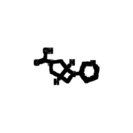 O=C(O)N1C[C@H]2CN(c3cccnc3)[C@H]2C1